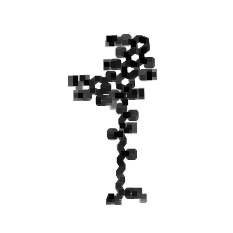 COc1cccc2c1C(=O)c1c(O)c3c(c(O)c1C2=O)CC(O)(C(=O)COC(=O)CNC(=O)CCC(=O)CCCCC[C@@H](C)C(C)=O)C[C@H]3OC1CC(N)C(O)C(C)O1